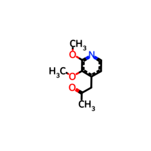 COc1nccc(CC(C)=O)c1OC